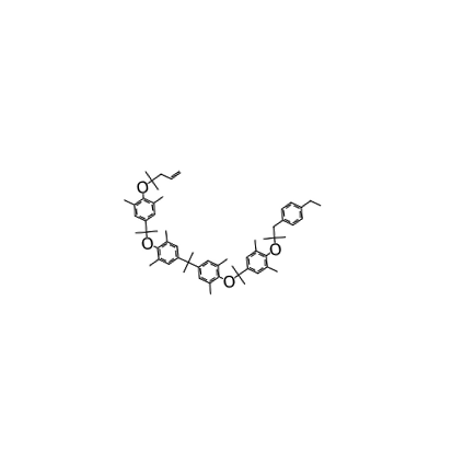 C=CCC(C)(C)Oc1c(C)cc(C(C)(C)Oc2c(C)cc(C(C)(C)c3cc(C)c(OC(C)(C)c4cc(C)c(OC(C)(C)Cc5ccc(CC)cc5)c(C)c4)c(C)c3)cc2C)cc1C